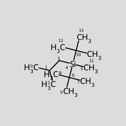 CC(C)C[Si](C)(C(C)(C)C)C(C)(C)C